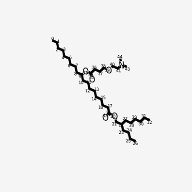 CCCCCCCCCC(CCCCCCCCC(=O)OCC(CCCC)CCCCCC)OC(=O)CCCOCCN(C)C